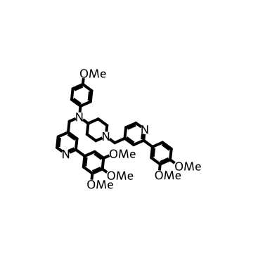 COc1ccc(N(Cc2ccnc(-c3cc(OC)c(OC)c(OC)c3)c2)C2CCN(Cc3ccnc(-c4ccc(OC)c(OC)c4)c3)CC2)cc1